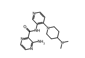 CN(C)C1CCN(c2ccncc2NC(=O)c2nccnc2N)CC1